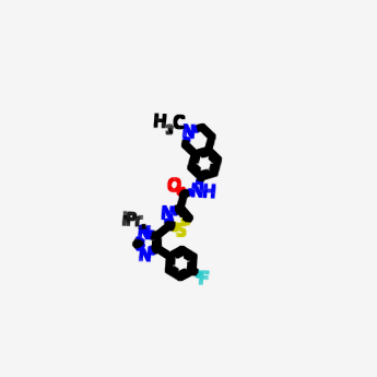 CC(C)n1cnc(-c2ccc(F)cc2)c1-c1nc(C(=O)Nc2ccc3c(c2)CN(C)CC3)cs1